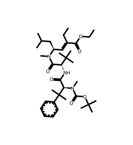 CCOC(=O)/C(=C/[C@H](CC(C)C)N(C)C(=O)[C@@H](NC(=O)[C@@H](N(C)C(=O)OC(C)(C)C)C(C)(C)c1ccccc1)C(C)(C)C)CC